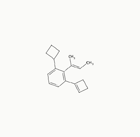 C/C=C(\C)c1c(C2=CCC2)cccc1C1CCC1